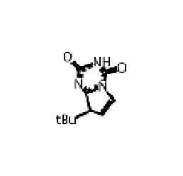 CC(C)(C)C1C=Cn2c1nc(=O)[nH]c2=O